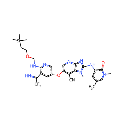 Cn1cc(C(F)(F)F)cc(Nc2nc3ncc(Oc4cnc(NCOCC[Si](C)(C)C)c(C(=N)C(F)(F)F)c4)c(C#N)c3n2C)c1=O